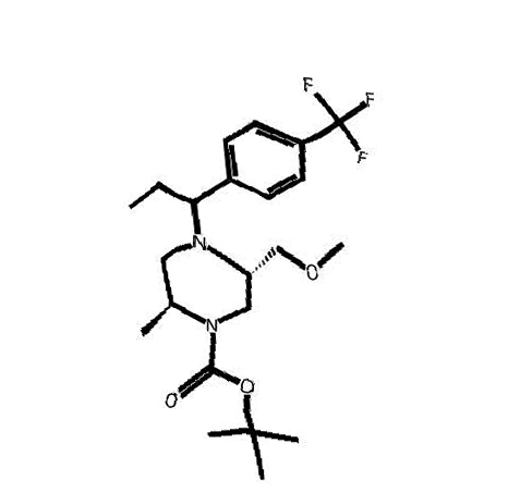 CCC(c1ccc(C(F)(F)F)cc1)N1C[C@H](C)N(C(=O)OC(C)(C)C)C[C@H]1COC